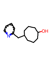 OC1CCCC(Cc2ccccn2)CCC1